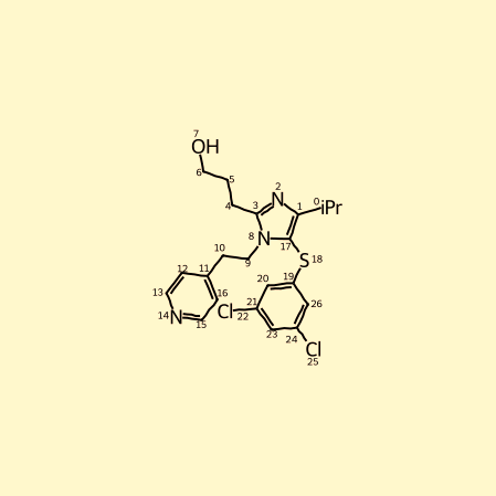 CC(C)c1nc(CCCO)n(CCc2ccncc2)c1Sc1cc(Cl)cc(Cl)c1